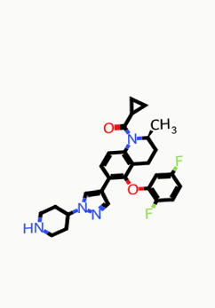 C[C@H]1CCc2c(ccc(-c3cnn(C4CCNCC4)c3)c2Oc2cc(F)ccc2F)N1C(=O)C1CC1